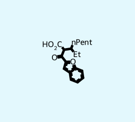 CCCCCC(CC)C(C(=O)O)C(=O)c1cc2ccccc2o1